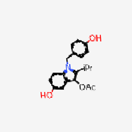 CC(=O)Oc1c(C(C)C)n(Cc2ccc(O)cc2)c2ccc(O)cc12